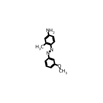 COc1cccc(N=Nc2ccc(N)cc2C)c1